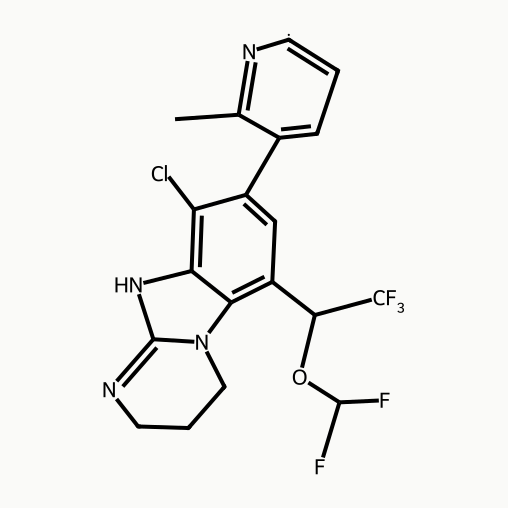 Cc1n[c]ccc1-c1cc(C(OC(F)F)C(F)(F)F)c2c(c1Cl)NC1=NCCCN12